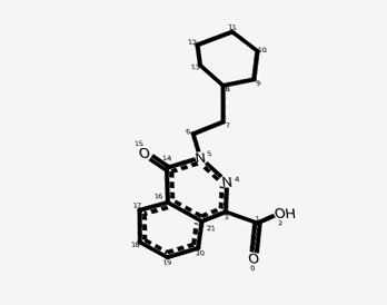 O=C(O)c1nn(CCC2CCCCC2)c(=O)c2ccccc12